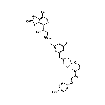 O=C(COc1ccc(O)cc1)N1CCOC2(CCN(Cc3cc(F)cc(CCNCC(O)c4ccc(O)c5[nH]c(=O)sc45)c3)CC2)C1